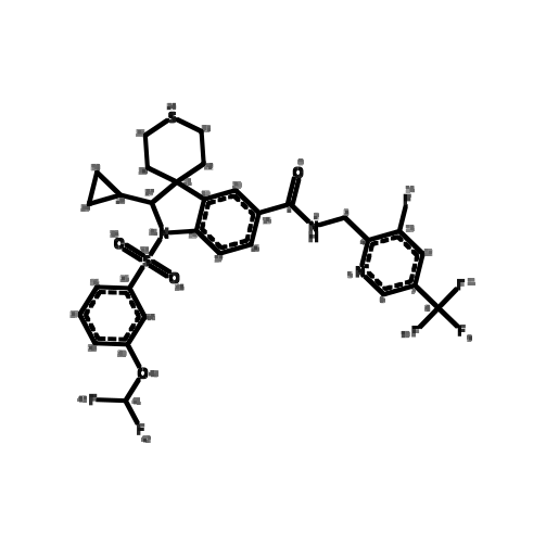 O=C(NCc1ncc(C(F)(F)F)cc1F)c1ccc2c(c1)C1(CCSCC1)C(C1CC1)N2S(=O)(=O)c1cccc(OC(F)F)c1